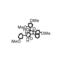 COc1ccc([C@]23Oc4cc(OC)cc(OC)c4[C@@]2(O)c2nc(-c4cccc(OC)c4)[nH]c(=O)c2[C@@H]3c2ccccc2)cc1